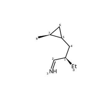 CC[C@@H](C=N)CC1C[C@@H]1C